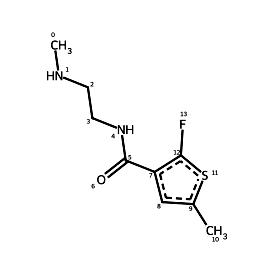 CNCCNC(=O)c1cc(C)sc1F